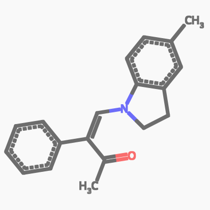 CC(=O)/C(=C\N1CCc2cc(C)ccc21)c1ccccc1